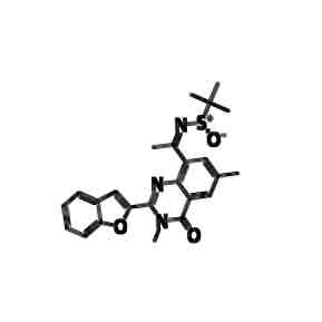 C/C(=N/[S@+]([O-])C(C)(C)C)c1cc(C)cc2c(=O)n(C)c(-c3cc4ccccc4o3)nc12